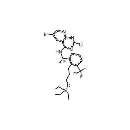 CC[Si](CC)(CC)OCCCc1c([C@@H](C)Nc2nc(Cl)nc3ncc(Br)cc23)cccc1C(F)(F)F